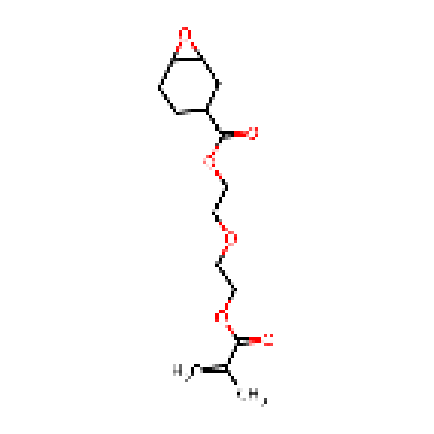 C=C(C)C(=O)OCCOCCOC(=O)C1CCC2OC2C1